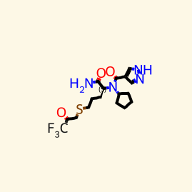 NC(=O)[C@H](CCCSCC(=O)C(F)(F)F)N(C(=O)c1cn[nH]c1)C1CCCC1